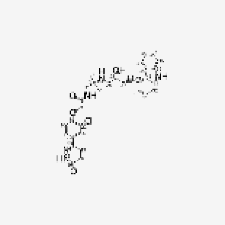 CC(C)(CNC(=O)COc1ccc(C2=NNC(=O)CC2)cc1Cl)NCC(O)COc1cccc2[nH]c3ccccc3c12